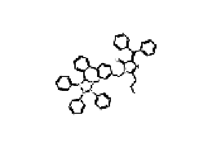 CCCC1=NC(=C(c2ccccc2)c2ccccc2)C(=O)N1Cc1ccc(-c2ccccc2C2N(C)N(c3ccccc3)N(c3ccccc3)N2c2ccccc2)cc1